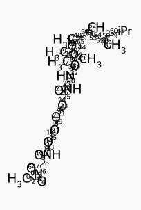 CC1=CC(=O)N(CCCC(=O)NCCOCCOCCOCCOCCC(=O)NCCNCCOc2c(C)c(C)c3c(c2C)CC[C@](C)(CCC[C@@H](C)CCC[C@@H](C)CCCC(C)C)O3)C1=O